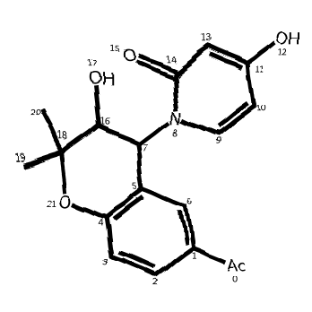 CC(=O)c1ccc2c(c1)C(n1ccc(O)cc1=O)C(O)C(C)(C)O2